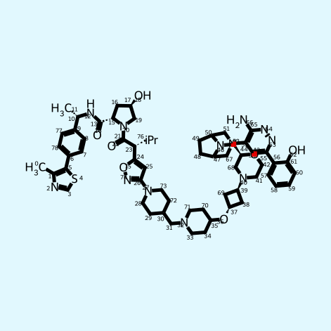 Cc1ncsc1-c1ccc([C@H](C)NC(=O)[C@@H]2C[C@@H](O)CN2C(=O)[C@@H](c2cc(N3CCC(CN4CCC(O[C@H]5C[C@H](N6CCO[C@H](CN7C8CCC7CN(c7cc(-c9ccccc9O)nnc7N)C8)C6)C5)CC4)CC3)no2)C(C)C)cc1